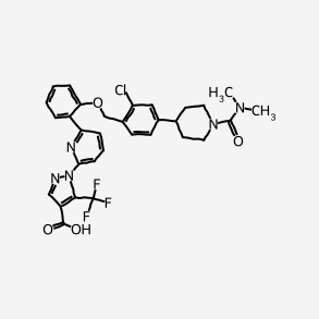 CN(C)C(=O)N1CCC(c2ccc(COc3ccccc3-c3cccc(-n4ncc(C(=O)O)c4C(F)(F)F)n3)c(Cl)c2)CC1